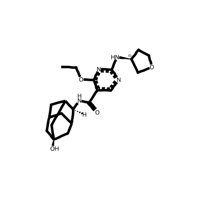 CCOc1nc(N[C@H]2CCOC2)ncc1C(=O)N[C@H]1C2CC3CC1C[C@@](O)(C3)C2